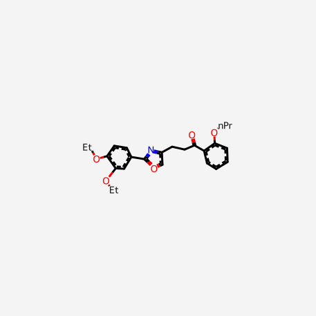 CCCOc1ccccc1C(=O)CCc1coc(-c2ccc(OCC)c(OCC)c2)n1